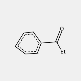 CCC(=O)c1[c]cccc1